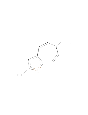 CC1C=Cc2cc(C(C)C)sc2C=C1